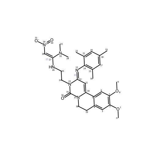 COc1cc2c(cc1OC)-c1c/c(=N\c3c(C)cc(C)cc3C)n(CCN/C(=C/[N+](=O)[O-])N(C)C)c(=O)n1CC2